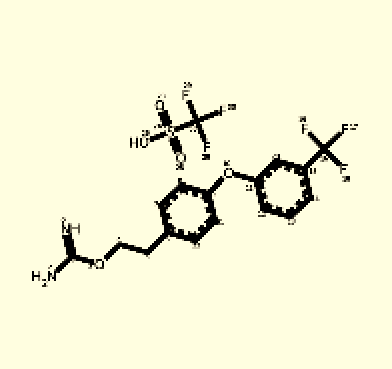 N=C(N)OCCc1ccc(Oc2cccc(C(F)(F)F)c2)cc1.O=S(=O)(O)C(F)(F)F